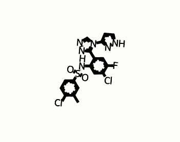 Cc1cc(S(=O)(=O)Nc2cc(Cl)c(F)cc2-c2nncn2-c2cc[nH]n2)ccc1Cl